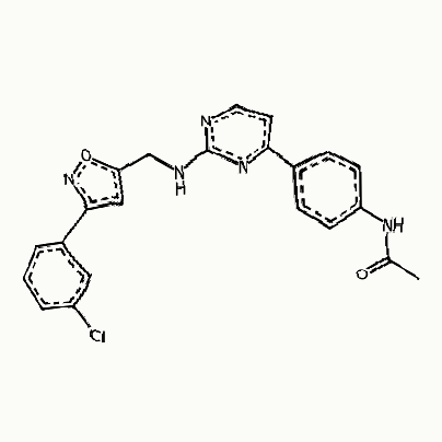 CC(=O)Nc1ccc(-c2ccnc(NCc3cc(-c4cccc(Cl)c4)no3)n2)cc1